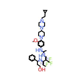 C\C=C(NC(CCO)c1ccccc1)/C(=C\N=C(/C)Nc1ccc(N2CCC(N3CCN(CCC4CC4)CC3)CC2)c(OC)c1)C(F)(F)F